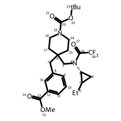 CCC1C[C@H]1N(CC1(Cc2cccc(C(=O)OC)c2)CCN(C(=O)OC(C)(C)C)CC1)C(=O)C(F)(F)F